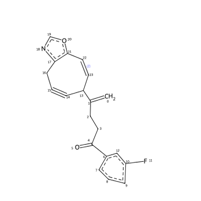 C=C(CCC(=O)c1cccc(F)c1)C1C#CCc2ncoc2/C=C\1